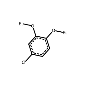 CCOc1ccc(Cl)cc1OCC